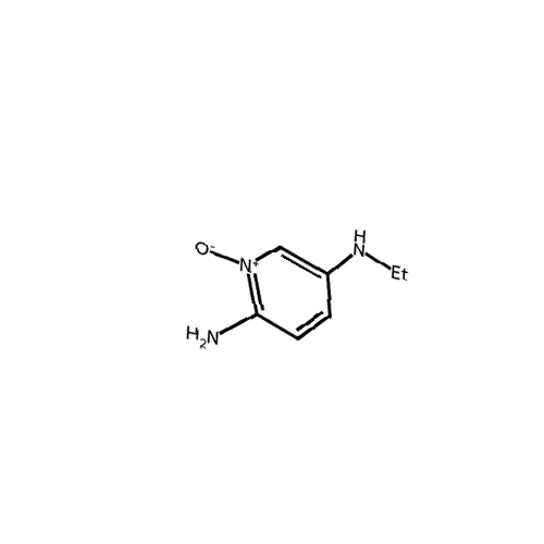 CCNc1ccc(N)[n+]([O-])c1